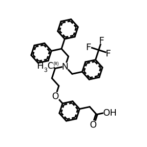 C[C@H](CCOc1cccc(CC(=O)O)c1)N(Cc1cccc(C(F)(F)F)c1)CC(c1ccccc1)c1ccccc1